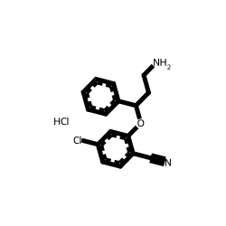 Cl.N#Cc1ccc(Cl)cc1OC(CCN)c1ccccc1